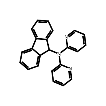 c1ccc(N(c2ccccn2)C2c3ccccc3-c3ccccc32)nc1